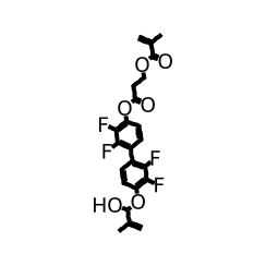 C=C(C)C(=O)OCCC(=O)Oc1ccc(-c2ccc(OC(O)C(=C)C)c(F)c2F)c(F)c1F